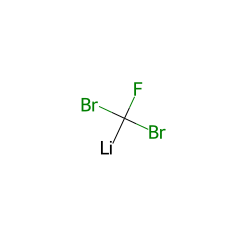 [Li][C](F)(Br)Br